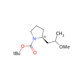 COC(C)C[C@@H]1CCCN1C(=O)OC(C)(C)C